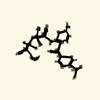 CCC(C)(CC(C)(C)C(=O)OC)C(=O)Oc1cc(O)ccc1C(=O)c1ccc(N(C)C)cc1